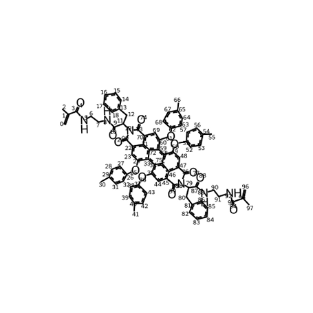 C=C(C)C(=O)NCCNC(=O)C(Cc1ccccc1)N1C(=O)c2cc(Oc3ccc(C)cc3)c3c4c(Oc5ccc(C)cc5)cc5c6c(cc(Oc7ccc(C)cc7)c(c7c(Oc8ccc(C)cc8)cc(c2c37)C1=O)c64)C(=O)N(C(Cc1ccccc1)C(=O)NCCNC(=O)C(=C)C)C5=O